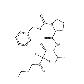 CCCCC(=O)C(F)(F)C(=O)C(NC(=O)C1CCCN1C(=O)OCc1ccccc1)C(C)C